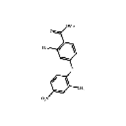 COC(=O)c1ccc(Oc2ccc([N+](=O)[O-])cc2C)cc1C